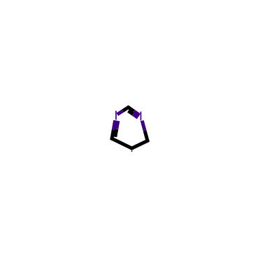 [CH]1C=IC=IC1